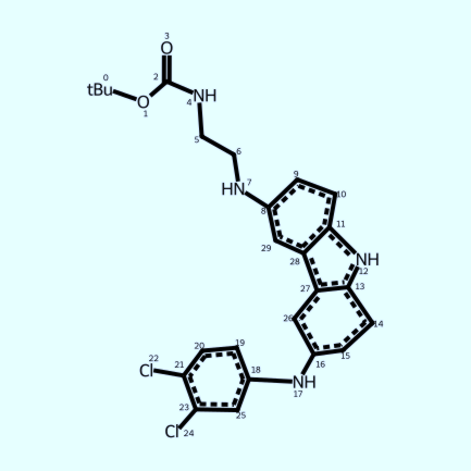 CC(C)(C)OC(=O)NCCNc1ccc2[nH]c3ccc(Nc4ccc(Cl)c(Cl)c4)cc3c2c1